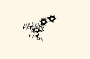 CC(C)C[C@H](NC(=O)OC(C)(C)C)C(=O)NS(=O)(=O)c1ccc(Oc2ccccc2)cc1